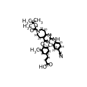 Cc1cc(/C=C/C(=O)O)cc(C)c1Oc1nc(Nc2ccc(C#N)cc2)nc2c1CCN(C(=O)OC(C)(C)C)CC2